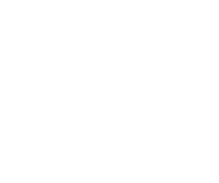 Cc1noc(C)c1-c1ccc2c(c1)nc([C@H]1CCC(=O)N1c1ccc(F)c(F)c1)n2[C@@H]1CCN(S(C)(=O)=O)C1